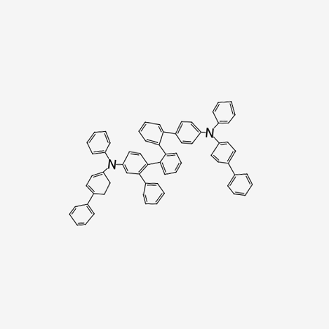 C1=C(c2ccccc2)CCC(N(c2ccccc2)c2ccc(-c3ccccc3-c3ccccc3-c3ccc(N(c4ccccc4)c4ccc(-c5ccccc5)cc4)cc3)c(-c3ccccc3)c2)=C1